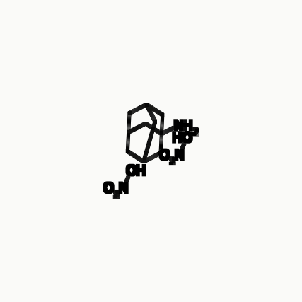 NC12CC3CC(CC(C3)C1)C2.O=[N+]([O-])O.O=[N+]([O-])O